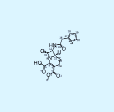 COC(=O)C1=C(C(=O)O)N2C(=O)C(NC(=O)Cc3cccs3)[C@@H]2SC1